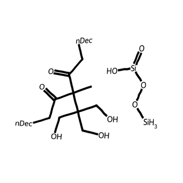 CCCCCCCCCCCC(=O)C(C)(C(=O)CCCCCCCCCCC)C(CO)(CO)CO.O=[Si](O)OO[SiH3]